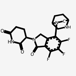 O=C1CCC(N2Cc3c(c(F)c(F)c(F)c3N3CC4CCC3CN4)C2=O)C(=O)N1